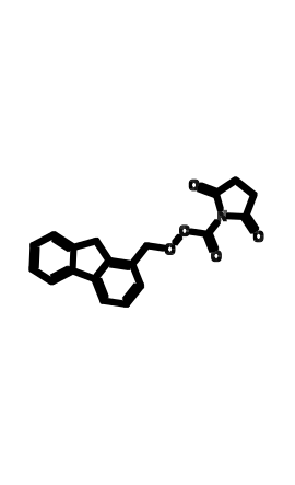 O=C1CCC(=O)N1C(=O)OOCc1cccc2c1Cc1ccccc1-2